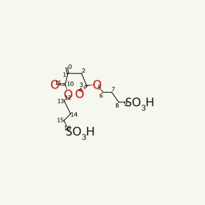 C=C(CC(=O)OCCCS(=O)(=O)O)C(=O)OCCCS(=O)(=O)O